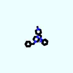 CN1CCC(CNc2ccccc2)(N2CCN(Cc3ccccc3)CC2)CC1